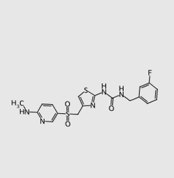 CNc1ccc(S(=O)(=O)Cc2csc(NC(=O)NCc3cccc(F)c3)n2)cn1